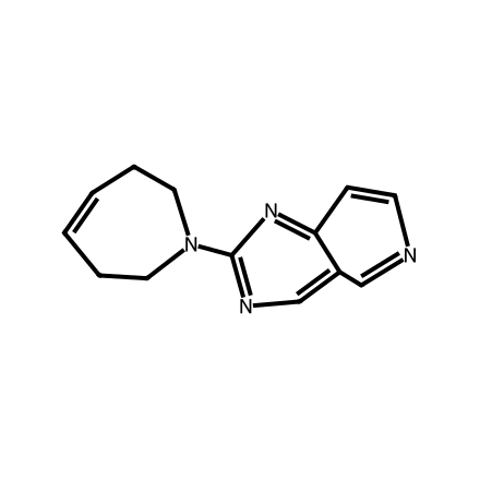 C1=CCCN(c2ncc3cnccc3n2)CC1